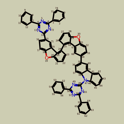 c1ccc(-c2nc(-c3ccccc3)nc(-c3ccc4oc5cccc(-c6cccc7oc8ccc(-c9ccc%10c(c9)c9ccccc9n%10-c9nc(-c%10ccccc%10)nc(-c%10ccccc%10)n9)cc8c67)c5c4c3)n2)cc1